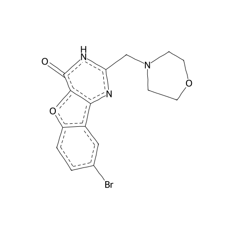 O=c1[nH]c(CN2CCOCC2)nc2c1oc1ccc(Br)cc12